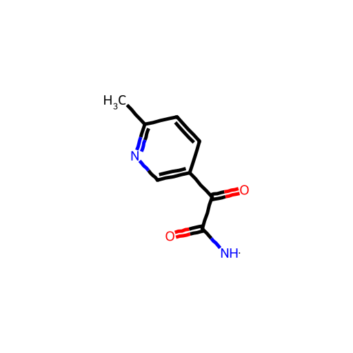 Cc1ccc(C(=O)C([NH])=O)cn1